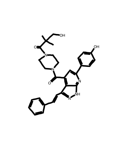 CC(C)(CO)C(=O)N1CCN(C(=O)c2cc(-c3ccc(O)cc3)nc3[nH]nc(C=Cc4ccccc4)c23)CC1